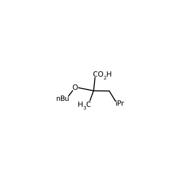 CCCCOC(C)(CC(C)C)C(=O)O